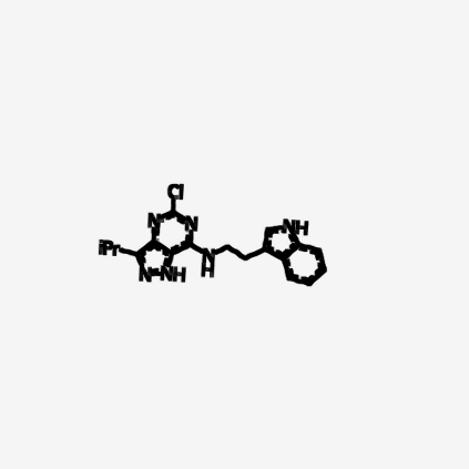 CC(C)c1n[nH]c2c(NCCc3c[nH]c4ccccc34)nc(Cl)nc12